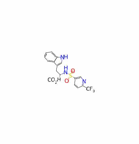 O=C(O)C(Cc1c[nH]c2ccccc12)NS(=O)(=O)c1ccc(C(F)(F)F)nc1